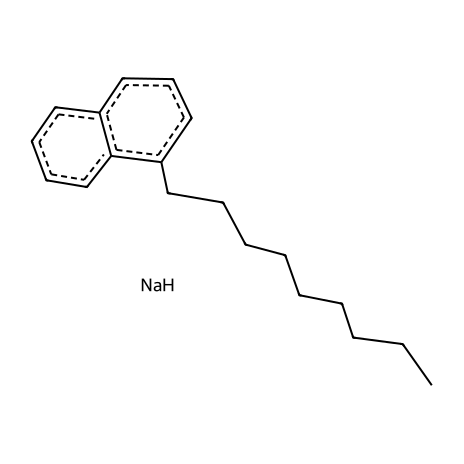 CCCCCCCCCc1cccc2ccccc12.[NaH]